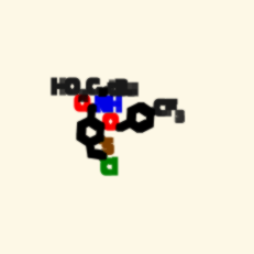 CC(C)(C)C(NC(=O)C1=C(OCc2ccc(C(F)(F)F)cc2)C2SC(Cl)=CC2C=C1)C(=O)O